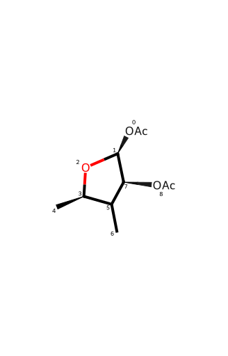 CC(=O)O[C@@H]1O[C@H](C)C(C)[C@@H]1OC(C)=O